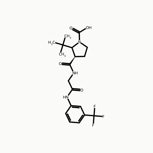 CC(C)(C)C1[C@H](C(=O)NCC(=O)Nc2cccc(C(F)(F)F)c2)CCN1C(=O)O